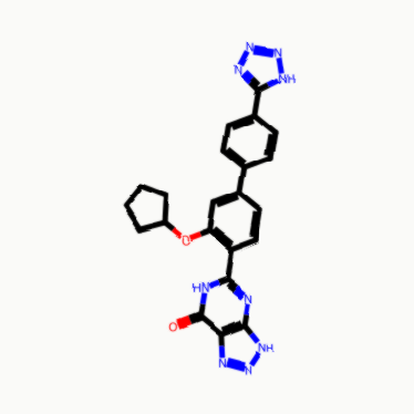 O=c1[nH]c(-c2ccc(-c3ccc(-c4nnn[nH]4)cc3)cc2OC2CCCC2)nc2[nH]nnc12